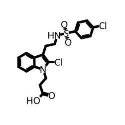 O=C(O)CCn1c(Cl)c(CCNS(=O)(=O)c2ccc(Cl)cc2)c2ccccc21